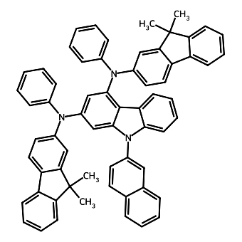 CC1(C)c2ccccc2-c2ccc(N(c3ccccc3)c3cc(N(c4ccccc4)c4ccc5c(c4)C(C)(C)c4ccccc4-5)c4c5ccccc5n(-c5ccc6ccccc6c5)c4c3)cc21